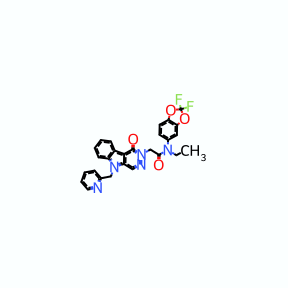 CCN(C(=O)Cn1ncc2c(c1=O)c1ccccc1n2Cc1ccccn1)c1ccc2c(c1)OC(F)(F)O2